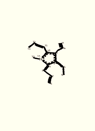 C=C/C=c1\c(=C/C)c(C=C)c(/C=C\C)n1C